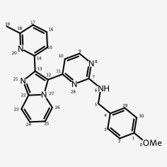 COc1ccc(CNc2nccc(-c3c(-c4cccc(C)n4)nc4ccccn34)n2)cc1